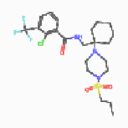 CCCS(=O)(=O)N1CCN(C2(CNC(=O)c3cccc(C(F)(F)F)c3Cl)CCCCC2)CC1